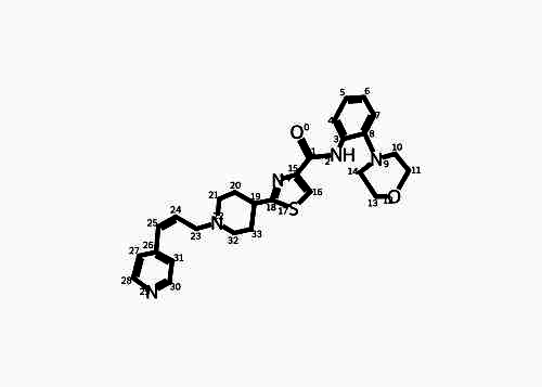 O=C(Nc1ccccc1N1CCOCC1)c1csc(C2CCN(C/C=C\c3ccncc3)CC2)n1